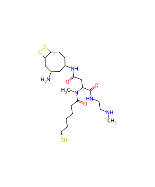 CNCCNC(=O)C(CC(=O)NC1CCC2SSC2CC(N)C1)N(C)C(=O)CCCCCS